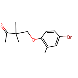 CC(=O)C(C)(C)COc1ccc(Br)cc1C